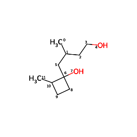 CC(CCO)CC1(O)CCC1C